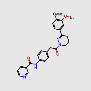 CCOc1cc(C2=NN(C(=O)Cc3ccc(NC(=O)c4cccnc4)cc3)CCC2)ccc1OC